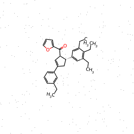 CCc1cccc(C2=CC(C(=O)c3ccco3)[C@H](c3cc(CC)c(CC)c(CC)c3)C2)c1